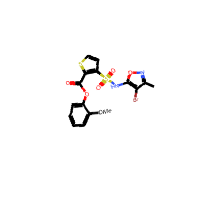 COc1ccccc1OC(=O)c1sccc1S(=O)(=O)Nc1onc(C)c1Br